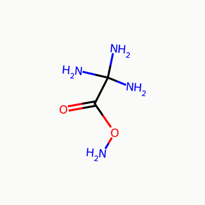 NOC(=O)C(N)(N)N